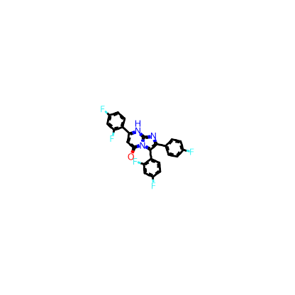 O=c1cc(-c2ccc(F)cc2F)[nH]c2nc(-c3ccc(F)cc3)c(-c3ccc(F)cc3F)n12